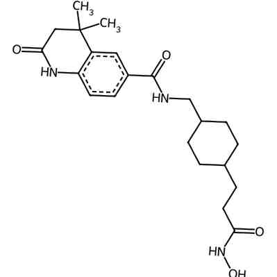 CC1(C)CC(=O)Nc2ccc(C(=O)NCC3CCC(CCC(=O)NO)CC3)cc21